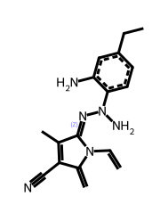 C=CN1C(=C)C(C#N)=C(C)/C1=N/N(N)c1ccc(CC)cc1N